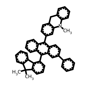 CN1c2ccccc2Cc2ccc(-c3c4ccccc4c(-c4cccc5c4-c4ccccc4C5(C)C)c4cc(-c5ccccc5)ccc34)cc21